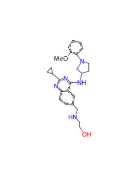 COc1ccccc1N1CCC(Nc2nc(C3CC3)nc3ccc(CNCCO)cc23)C1